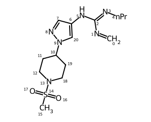 C=N/C(=N\CCC)Nc1cnn(C2CCN(S(C)(=O)=O)CC2)c1